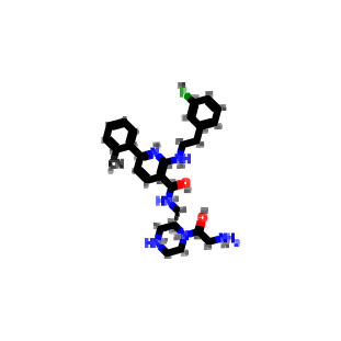 N#Cc1ccccc1-c1ccc(C(=O)NC[C@H]2CNCCN2C(=O)CN)c(NCCc2cccc(F)c2)n1